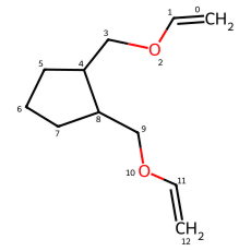 C=COCC1CCCC1COC=C